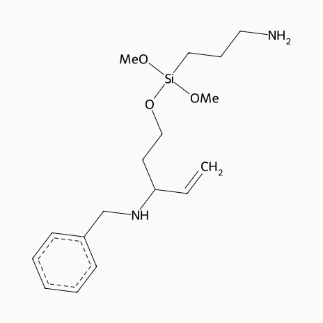 C=CC(CCO[Si](CCCN)(OC)OC)NCc1ccccc1